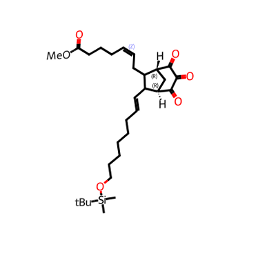 COC(=O)CCC/C=C\CC1C(C=CCCCCCCO[Si](C)(C)C(C)(C)C)[C@H]2C[C@H]1C(=O)C(=O)C2=O